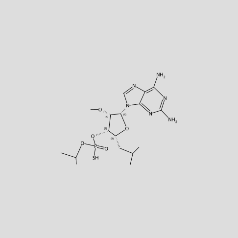 CO[C@H]1[C@@H](OP(=O)(S)OC(C)C)[C@@H](CC(C)C)O[C@H]1n1cnc2c(N)nc(N)nc21